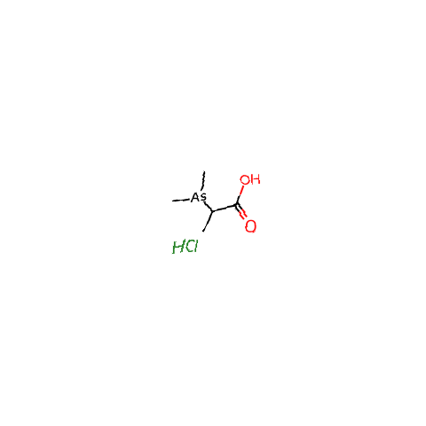 CC(C(=O)O)[As](C)C.Cl